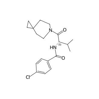 CC(C)[C@H](NC(=O)c1ccc(Cl)cc1)C(=O)N1CCC2(CC1)CC2